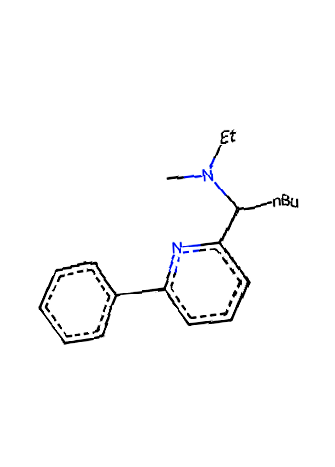 CCCCC(c1cccc(-c2ccccc2)n1)N(C)CC